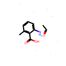 CC=O.Cc1cccc(N)c1C(=O)O